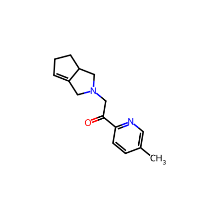 Cc1ccc(C(=O)CN2CC3=CCCC3C2)nc1